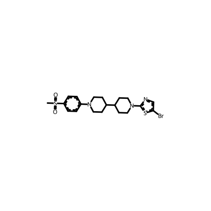 CS(=O)(=O)c1ccc(N2CCC(C3CCN(c4ncc(Br)s4)CC3)CC2)cc1